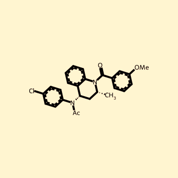 COc1cccc(C(=O)N2c3ccccc3[C@@H](N(C(C)=O)c3ccc(Cl)cc3)C[C@H]2C)c1